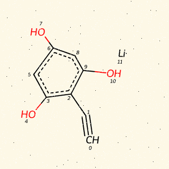 C#Cc1c(O)cc(O)cc1O.[Li]